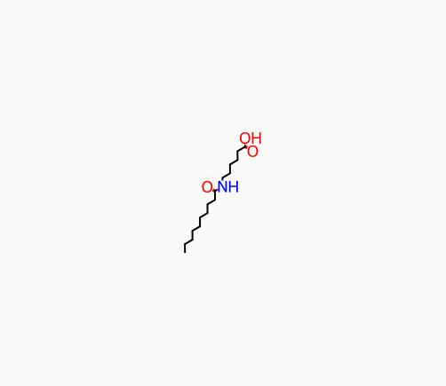 CCCCCCCCCC(=O)NCCCCCC(=O)O